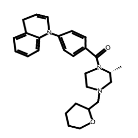 C[C@@H]1CN(CC2CCCCO2)CCN1C(=O)c1ccc(N2C=CCc3ccccc32)cc1